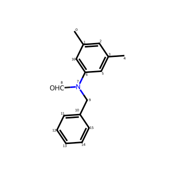 Cc1cc(C)cc(N(C=O)Cc2ccccc2)c1